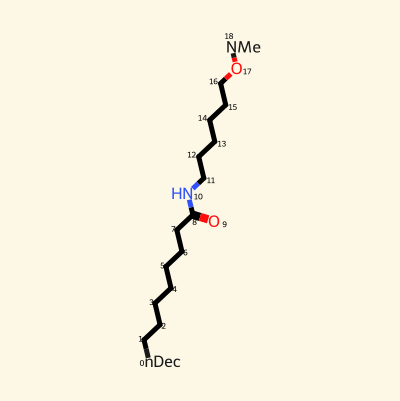 CCCCCCCCCCCCCCCCCC(=O)NCCCCCCONC